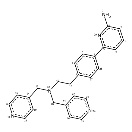 Nc1cccc(-c2ccc(CCN(Cc3ccncc3)Cc3ccncc3)cc2)n1